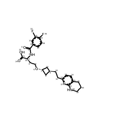 O=C(N[C@@H](CCO[C@H]1C[C@H](CCc2ccc3c(n2)NCCC3)C1)C(=O)O)c1ccc(F)c(F)c1